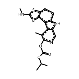 CNc1nc2c(ccc3[nH]c4cnc(OC(=O)OC(C)C)c(C)c4c32)s1